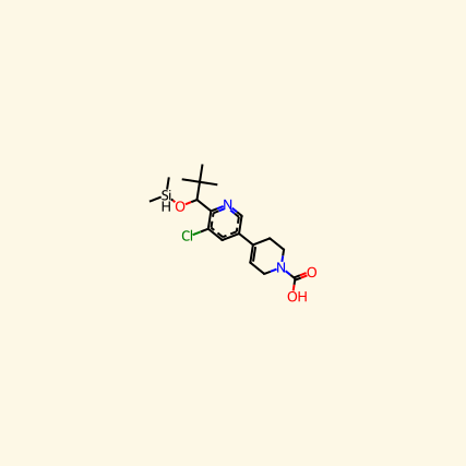 C[SiH](C)OC(c1ncc(C2=CCN(C(=O)O)CC2)cc1Cl)C(C)(C)C